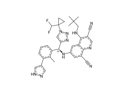 Cc1c(-c2cn[nH]c2)cccc1[C@H](Nc1cc(C#N)c2ncc(C#N)c(NCC(C)(C)C)c2c1)c1cn(C2(C(F)F)CC2)nn1